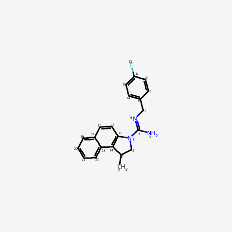 CC1CN(C(N)=NCc2ccc(F)cc2)c2ccc3ccccc3c21